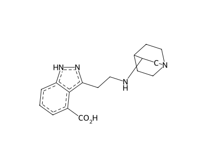 O=C(O)c1cccc2[nH]nc(CCNC3CN4CCC3CC4)c12